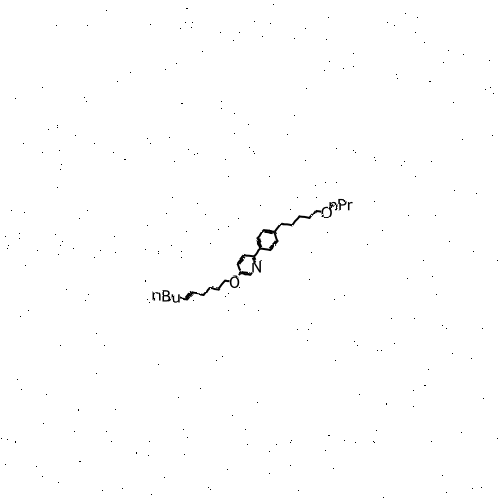 CCCCC=CCCCCOc1ccc(-c2ccc(CCCCCOCCC)cc2)nc1